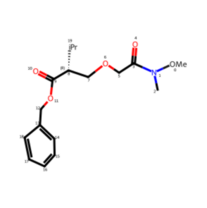 CON(C)C(=O)COC[C@H](C(=O)OCc1ccccc1)C(C)C